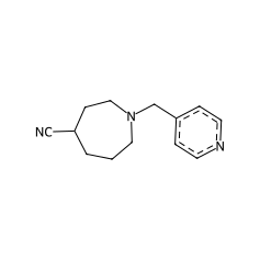 N#CC1CCCN(Cc2ccncc2)CC1